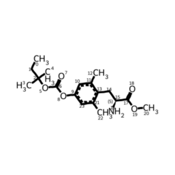 CCC(C)(C)OC(=O)Oc1cc(C)c(C[C@H](N)C(=O)OC)c(C)c1